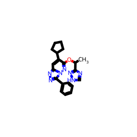 CC(Oc1nn2c(-c3ccccc3)nnc2cc1C1CCCC1)c1nc[nH]n1